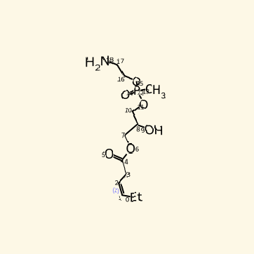 CC/C=C\CC(=O)OCC(O)COP(C)(=O)OCCN